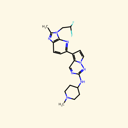 Cc1nc2ccc(-c3ccn4nc(NC5CCN(C)CC5)ncc34)nc2n1CC(F)F